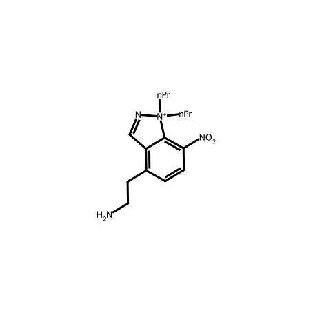 CCC[N+]1(CCC)N=Cc2c(CCN)ccc([N+](=O)[O-])c21